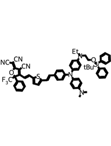 CCN(CCO[Si](c1ccccc1)(c1ccccc1)C(C)(C)C)c1ccc(N(c2ccc(/C=C/c3ccc(/C=C/C4=C(C#N)C(=C(C#N)C#N)OC4(c4ccccc4)C(F)(F)F)s3)cc2)c2ccc(N(C)C)cc2)cc1